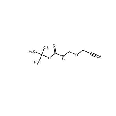 C#CCOCNC(=O)OC(C)(C)C